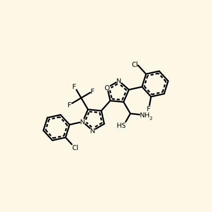 NC(S)c1c(-c2c(F)cccc2Cl)noc1-c1cnn(-c2ccccc2Cl)c1C(F)(F)F